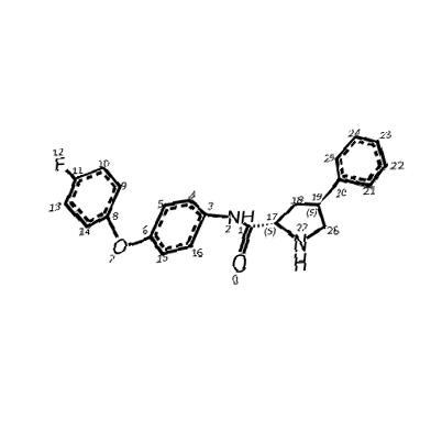 O=C(Nc1ccc(Oc2ccc(F)cc2)cc1)[C@@H]1C[C@@H](c2ccccc2)CN1